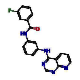 O=C(Nc1cccc(Nc2ncnc3ncccc23)c1)c1cccc(F)c1